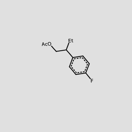 [CH2]CC(COC(C)=O)c1ccc(F)cc1